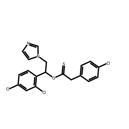 S=C(Cc1ccc(Cl)cc1)OC(Cn1ccnc1)c1ccc(Cl)cc1Cl